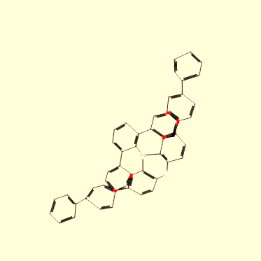 c1ccc(-c2ccc(-c3ccc4c(c3)N(c3c(-c5ccccc5)cccc3-c3ccccc3)c3cc(-c5ccc(-c6ccccc6)cc5)ccc3O4)cc2)cc1